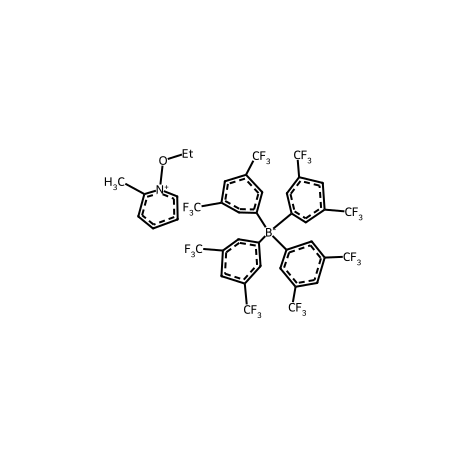 CCO[n+]1ccccc1C.FC(F)(F)c1cc([B-](c2cc(C(F)(F)F)cc(C(F)(F)F)c2)(c2cc(C(F)(F)F)cc(C(F)(F)F)c2)c2cc(C(F)(F)F)cc(C(F)(F)F)c2)cc(C(F)(F)F)c1